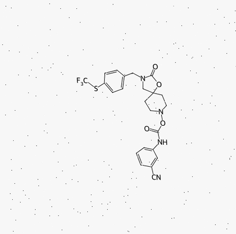 N#Cc1cccc(NC(=O)ON2CCC3(CC2)CN(Cc2ccc(SC(F)(F)F)cc2)C(=O)O3)c1